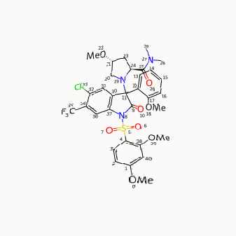 COc1ccc(S(=O)(=O)N2C(=O)C(c3ccccc3OC)(N3C[C@H](OC)C[C@H]3C(=O)N(C)C)c3cc(Cl)c(C(F)(F)F)cc32)c(OC)c1